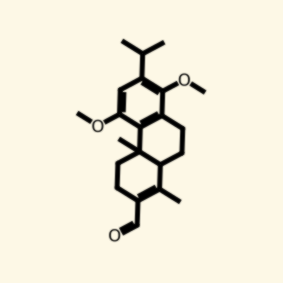 COc1cc(C(C)C)c(OC)c2c1C1(C)CCC(C=O)=C(C)C1CC2